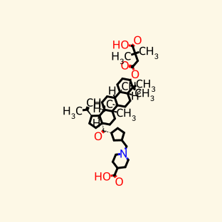 C=C(C)[C@@H]1CC[C@]2(C(=O)[C@@H]3CCC(CN4CCC(C(=O)O)CC4)C3)CC[C@]3(C)[C@H](CC[C@@H]4[C@@]5(C)CC[C@H](OC(=O)CC(C)(C)C(=O)O)C(C)(C)[C@@H]5CC[C@]43C)[C@@H]12